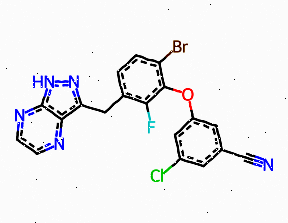 N#Cc1cc(Cl)cc(Oc2c(Br)ccc(Cc3n[nH]c4nccnc34)c2F)c1